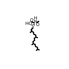 CC(=O)N[C@@H](CSCC=C(C)CCCC(C)CCCC(C)CCCC(C)C)C(=O)O